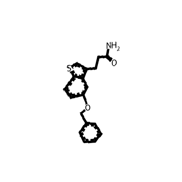 NC(=O)CCc1csc2ccc(OCc3ccccc3)cc12